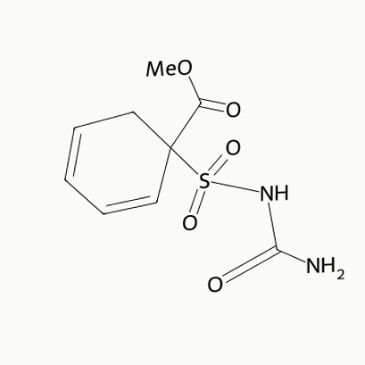 COC(=O)C1(S(=O)(=O)NC(N)=O)C=CC=CC1